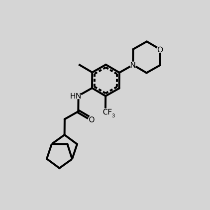 Cc1cc(N2CCOCC2)cc(C(F)(F)F)c1NC(=O)CC1CC2CCC1C2